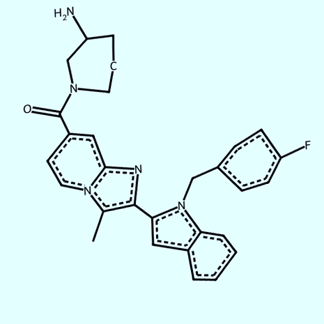 Cc1c(-c2cc3ccccc3n2Cc2ccc(F)cc2)nc2cc(C(=O)N3CCCC(N)C3)ccn12